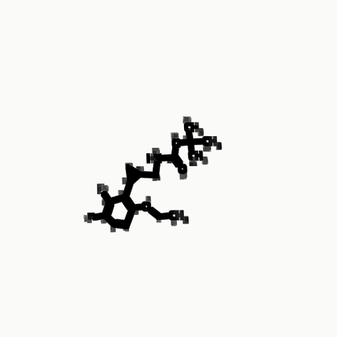 CCOc1ccc(F)c(F)c1C1CC1CNC(=O)OC(C)(C)C